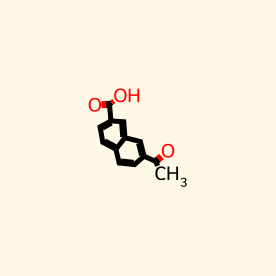 CC(=O)c1ccc2ccc(C(=O)O)cc2c1